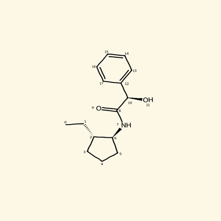 CC[C@H]1CCC[C@@H]1NC(=O)[C@H](O)c1ccccc1